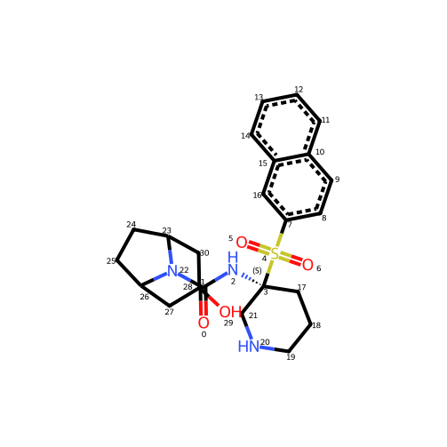 O=C(N[C@]1(S(=O)(=O)c2ccc3ccccc3c2)CCCNC1)N1C2CCC1CC(O)C2